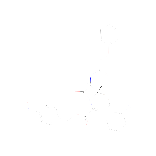 NC1CCCCC1.O=C(COc1ccccc1)N[C@@H]1C(=O)N2C(C(=O)OCc3ccc([N+](=O)[O-])cc3)=CCS[C@@H]12